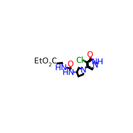 CCOC(=O)CCNC(=O)N[C@@H]1CCN(c2cn[nH]c(=O)c2Cl)C1